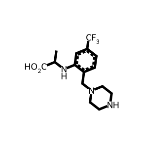 CC(Nc1cc(C(F)(F)F)ccc1CN1CCNCC1)C(=O)O